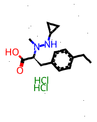 CCc1ccc(C[C@@H](C(=O)O)N(C)NC2CC2)cc1.Cl.Cl